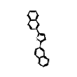 c1ccc2cc(-c3ccc(-c4ccc5ccccc5c4)s3)ccc2c1